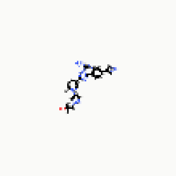 C[C@H]1CC[C@@H](c2nc3c4ccc(C5CNC5)cc4nc(N)n3n2)CN1c1cnn(CC(C)(C)O)c1